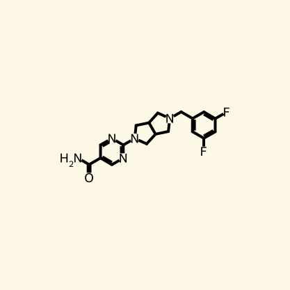 NC(=O)c1cnc(N2CC3CN(Cc4cc(F)cc(F)c4)CC3C2)nc1